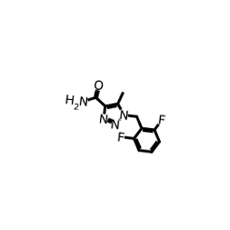 Cc1c(C(N)=O)nnn1Cc1c(F)cccc1F